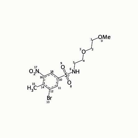 COCCOCCNS(=O)(=O)c1cc(Br)c(C)c([N+](=O)[O-])c1